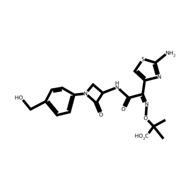 CC(C)(O/N=C(\C(=O)NC1CN(c2ccc(CO)cc2)C1=O)c1csc(N)n1)C(=O)O